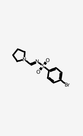 O=S(=O)(N=CN1CCCC1)c1ccc(Br)cc1